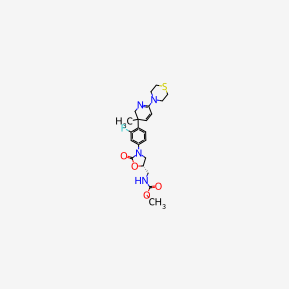 COC(=O)NC[C@H]1CN(c2ccc(C3(C)C=CC(N4CCSCC4)=NC3)c(F)c2)C(=O)O1